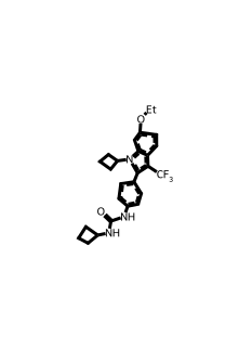 CCOc1ccc2c(C(F)(F)F)c(-c3ccc(NC(=O)NC4CCC4)cc3)n(C3CCC3)c2c1